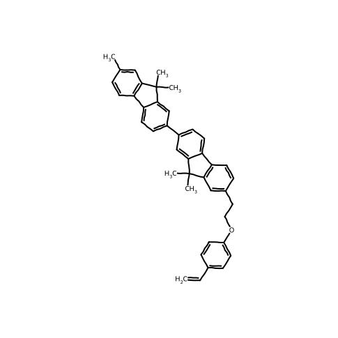 C=Cc1ccc(OCCc2ccc3c(c2)C(C)(C)c2cc(-c4ccc5c(c4)C(C)(C)c4cc(C)ccc4-5)ccc2-3)cc1